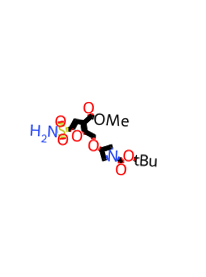 COC(=O)c1cc(S(N)(=O)=O)oc1COC1CN(C(=O)OC(C)(C)C)C1